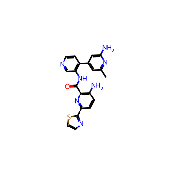 Cc1cc(-c2ccncc2NC(=O)c2nc(-c3nccs3)ccc2N)cc(N)n1